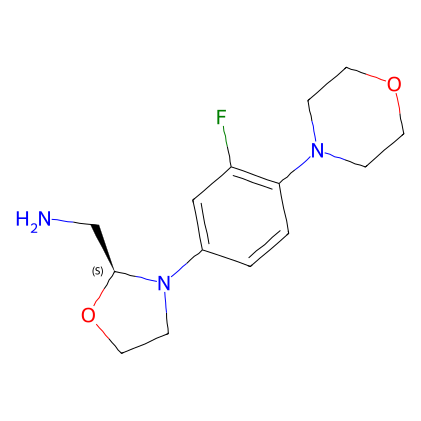 NC[C@@H]1OCCN1c1ccc(N2CCOCC2)c(F)c1